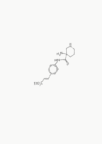 CCOC(=O)C=Cc1ccc(NC(=O)C2(N)CCCNC2)cc1